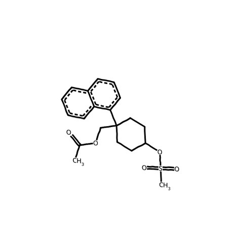 CC(=O)OCC1(c2cccc3ccccc23)CCC(OS(C)(=O)=O)CC1